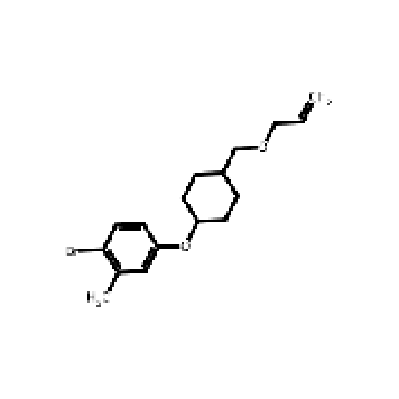 C=CCOCC1CCC(Oc2ccc(Br)c(C)c2)CC1